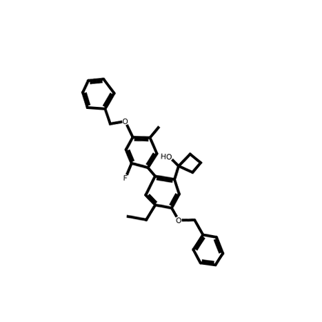 CCc1cc(-c2cc(C)c(OCc3ccccc3)cc2F)c(C2(O)CCC2)cc1OCc1ccccc1